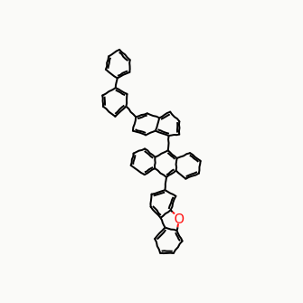 c1ccc(-c2cccc(-c3ccc4c(-c5c6ccccc6c(-c6ccc7c(c6)oc6ccccc67)c6ccccc56)cccc4c3)c2)cc1